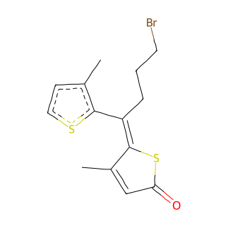 CC1=CC(=O)S/C1=C(\CCCBr)c1sccc1C